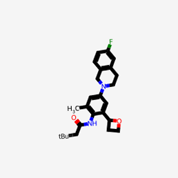 Cc1cc(N2CCc3cc(F)ccc3C2)cc(C2CCO2)c1NC(=O)CC(C)(C)C